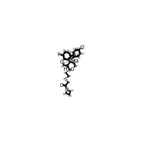 O=C(CSCC[C@@H]1OCC[C@@]2(S(=O)(=O)c3ccc(Cl)cc3)c3c(F)ccc(F)c3OC[C@@H]12)N1CCC1